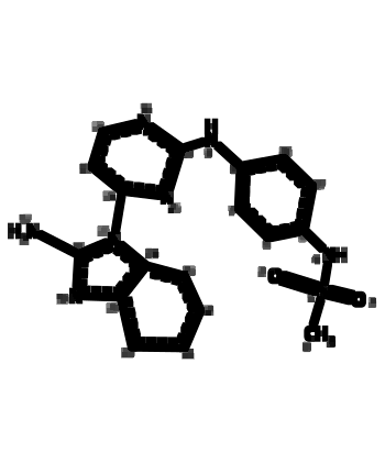 CS(=O)(=O)Nc1ccc(Nc2nccc(-n3c(N)nc4ccccc43)n2)cc1